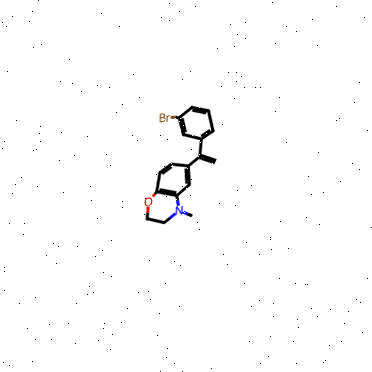 C=C(c1cccc(Br)c1)c1ccc2c(c1)N(C)CCO2